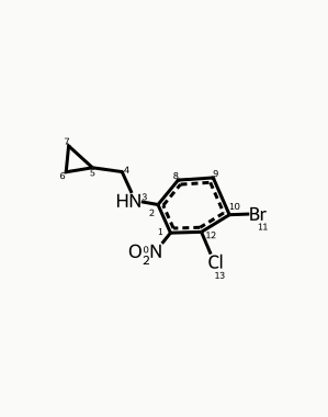 O=[N+]([O-])c1c(NCC2CC2)ccc(Br)c1Cl